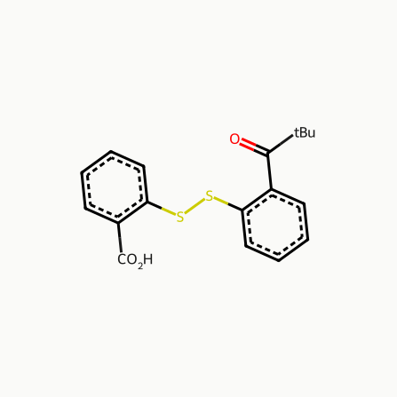 CC(C)(C)C(=O)c1ccccc1SSc1ccccc1C(=O)O